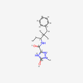 CCC(NC(=O)c1nn(C)c(=O)[nH]1)C(C)(C)Cc1ccccc1